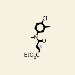 CCOC(=O)/C=C/C(=O)N(C)c1ccc(Cl)c(C)c1